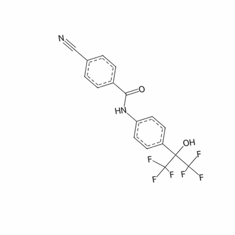 N#Cc1ccc(C(=O)Nc2ccc(C(O)(C(F)(F)F)C(F)(F)F)cc2)cc1